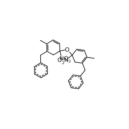 CC1=C(Cc2ccccc2)CC(OC2([N+](=O)[O-])C=CC(C)=C(Cc3ccccc3)C2)([N+](=O)[O-])C=C1